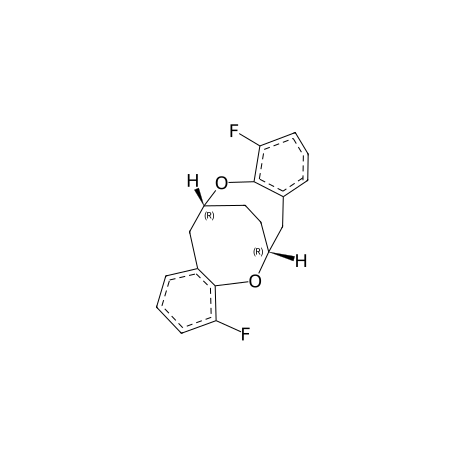 Fc1cccc2c1O[C@@H]1CC[C@H](C2)Oc2c(F)cccc2C1